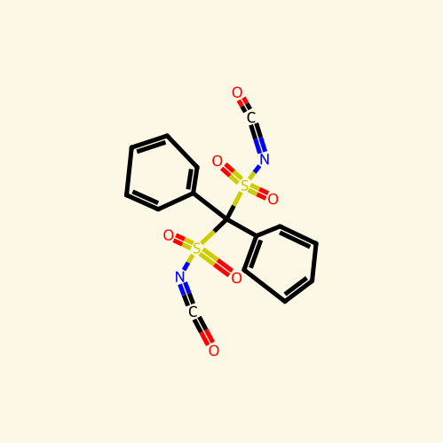 O=C=NS(=O)(=O)C(c1ccccc1)(c1ccccc1)S(=O)(=O)N=C=O